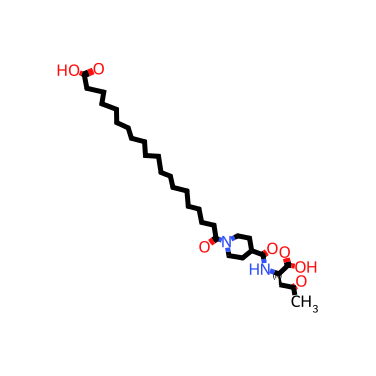 CC(=O)C[C@@H](NC(=O)C1CCN(C(=O)CCCCCCCCCCCCCCCCCCC(=O)O)CC1)C(=O)O